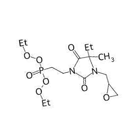 CCOOP(=O)(CCN1C(=O)N(CC2CO2)C(C)(CC)C1=O)OOCC